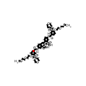 COCCOCCOc1ccc(C(=O)Nc2ccc(C=Cc3ccc(NC(=O)c4ccc(OCCOCCOC)c(S(=O)(=O)N5CCOCC5)c4)cc3S(=O)(=O)O)c(S(=O)(=O)O)c2)cc1S(=O)(=O)N1CCOCC1